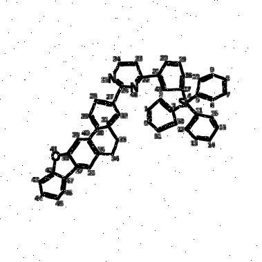 c1ccc([Si](c2ccccc2)(c2ccccc2)c2cccc(-c3ccnc(-c4ccc5c(c4)CCc4cc6c(cc4-5)oc4ccccc46)n3)c2)cc1